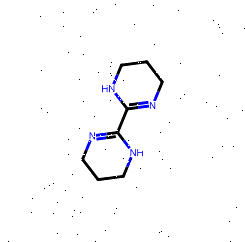 C1CN=C(C2=NCCCN2)NC1